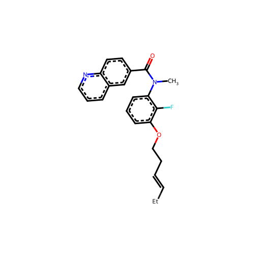 CCC=CCCOc1cccc(N(C)C(=O)c2ccc3ncccc3c2)c1F